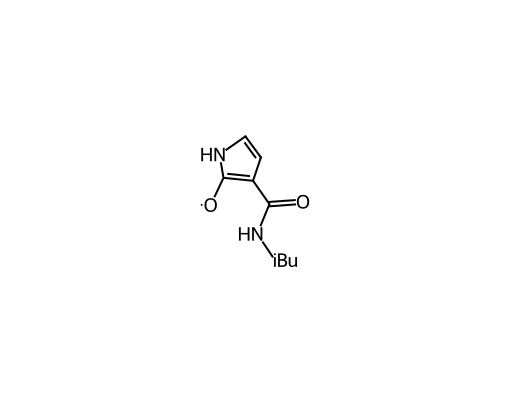 CCC(C)NC(=O)c1cc[nH]c1[O]